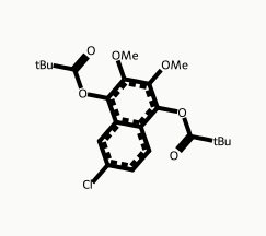 COc1c(OC)c(OC(=O)C(C)(C)C)c2cc(Cl)ccc2c1OC(=O)C(C)(C)C